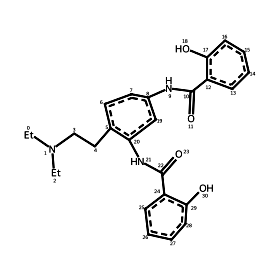 CCN(CC)CCc1ccc(NC(=O)c2ccccc2O)cc1NC(=O)c1ccccc1O